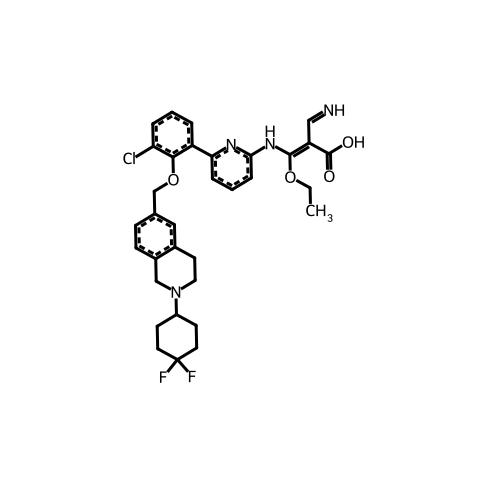 CCO/C(Nc1cccc(-c2cccc(Cl)c2OCc2ccc3c(c2)CCN(C2CCC(F)(F)CC2)C3)n1)=C(/C=N)C(=O)O